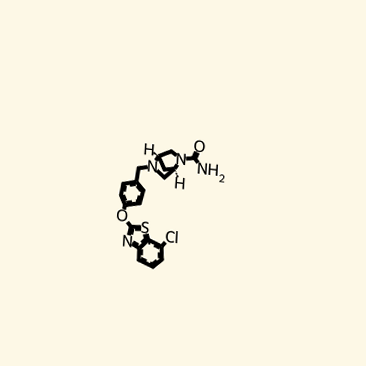 NC(=O)N1C[C@H]2C[C@@H]1CN2Cc1ccc(Oc2nc3cccc(Cl)c3s2)cc1